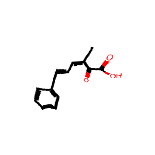 CC(=CC=Cc1ccccc1)C(=O)C(=O)O